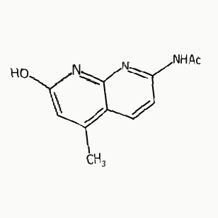 CC(=O)Nc1ccc2c(C)cc(O)nc2n1